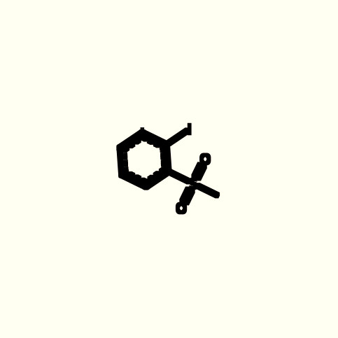 CS(=O)(=O)c1ccc[c]c1I